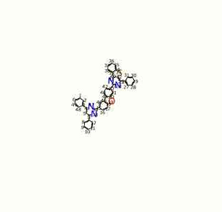 c1ccc(-c2cc(-c3ccccc3)nc(-c3ccc4oc5cc(-c6nc(-c7ccccc7)c7sc8ccccc8c7n6)ccc5c4c3)n2)cc1